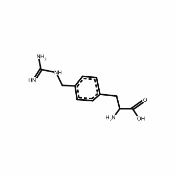 N=C(N)NCc1ccc(CC(N)C(=O)O)cc1